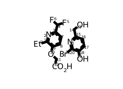 CCc1nc(C(F)F)ccc1OCC(=O)O.OCc1ccc(O)c(Br)n1